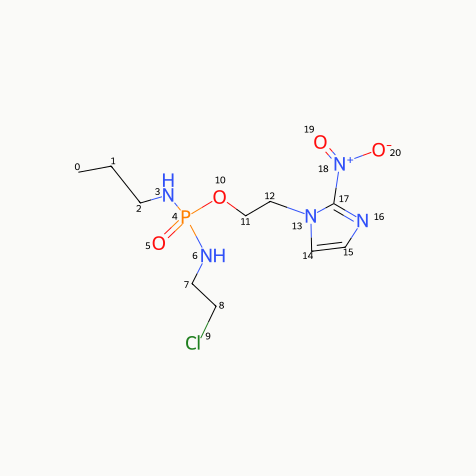 CCCNP(=O)(NCCCl)OCCn1ccnc1[N+](=O)[O-]